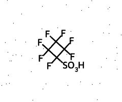 O=S(=O)(O)C1(F)C(F)(F)C(F)(F)C1(F)F